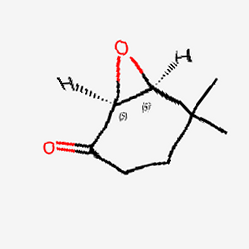 CC1(C)CCC(=O)[C@H]2O[C@H]21